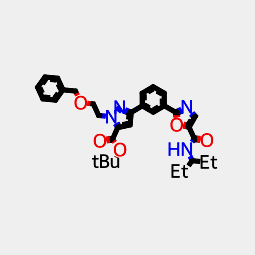 CCC(CC)NC(=O)c1cnc(-c2cccc(-c3cc(C(=O)OC(C)(C)C)n(CCOCc4ccccc4)n3)c2)o1